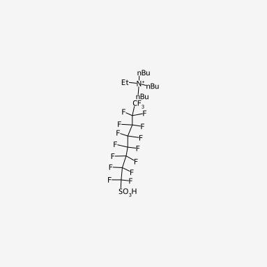 CCCC[N+](CC)(CCCC)CCCC.O=S(=O)(O)C(F)(F)C(F)(F)C(F)(F)C(F)(F)C(F)(F)C(F)(F)C(F)(F)C(F)(F)F